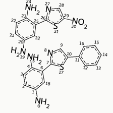 Nc1ccc(N)c(-c2ncc(-c3ccccc3)s2)c1.Nc1ccc(N)c(-c2ncc([N+](=O)[O-])s2)c1